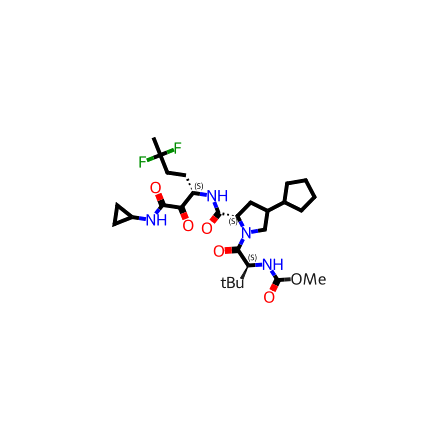 COC(=O)N[C@H](C(=O)N1CC(C2CCCC2)C[C@H]1C(=O)N[C@@H](CCC(C)(F)F)C(=O)C(=O)NC1CC1)C(C)(C)C